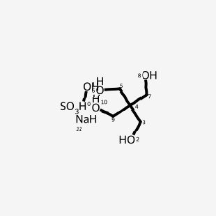 O=S(=O)(O)O.OCC(CO)(CO)CO.[NaH]